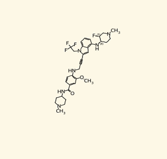 COc1cc(C(=O)NC2CCN(C)CC2)ccc1NCC#Cc1cc2c(N[C@@H]3CCN(C)C[C@@H]3F)cccc2n1CC(F)(F)F